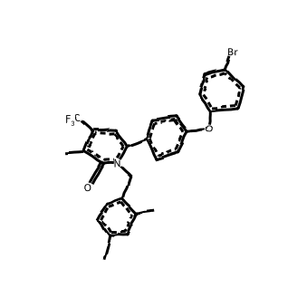 Cc1ccc(Cn2c(-c3ccc(Oc4ccc(Br)cc4)cc3)cc(C(F)(F)F)c(C)c2=O)c(C)c1